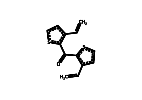 C=Cc1ccsc1C(=O)c1sccc1C=C